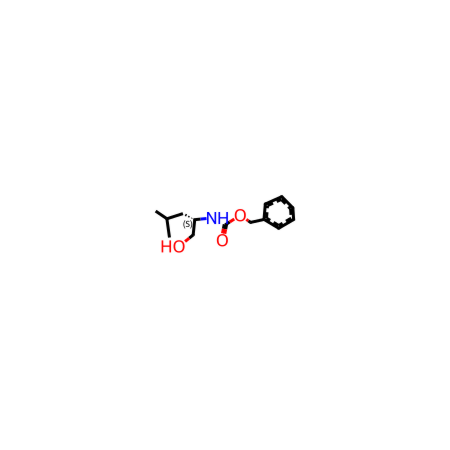 CC(C)C[C@@H](CO)NC(=O)OCc1ccccc1